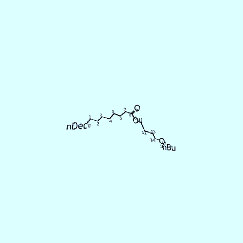 CCCCCCCCCCCCCCCCCC(=O)OCCCCOCCCC